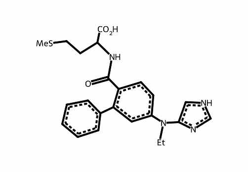 CCN(c1ccc(C(=O)NC(CCSC)C(=O)O)c(-c2ccccc2)c1)c1c[nH]cn1